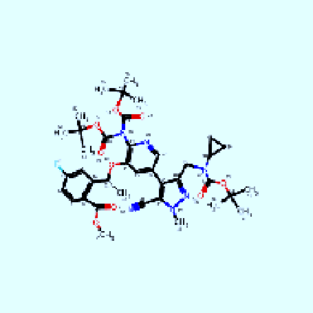 COC(=O)c1ccc(F)cc1[C@@H](C)Oc1cc(-c2c(CN(C(=O)OC(C)(C)C)C3CC3)nn(C)c2C#N)cnc1N(C(=O)OC(C)(C)C)C(=O)OC(C)(C)C